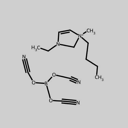 CCCC[N+]1(C)C=CN(CC)C1.N#COB(OC#N)OC#N